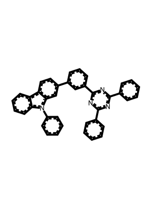 c1ccc(-c2nc(-c3ccccc3)nc(-c3cccc(-c4ccc5c6ccccc6n(-c6ccccc6)c5c4)c3)n2)cc1